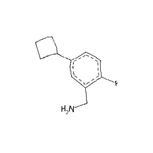 NCc1cc(C2CCC2)ccc1F